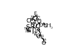 CCOC(=O)C1=C(CN2CCO[C@H](CCC=O)C2)NC(c2nccs2)=N[C@H]1c1ccc(F)cc1Cl